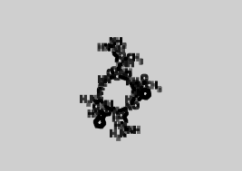 CC(=O)NC[C@@H]1NC(=O)[C@@H](NC(=O)[C@H](CCCNC(=N)N)NC(C)=O)CC(=O)NCCCCC(C(N)=O)NC(=O)[C@H](Cc2c[nH]c3ccccc23)NC(=O)[C@H](CCCNC(=N)N)NC(=O)[C@@H](Cc2ccccc2)NC1=O